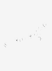 CC1=C(CC(=O)OCCOCCOC(=O)CCCCC2CCSS2)c2cc(F)ccc2/C1=C\c1ccc([S+](C)[O-])cc1